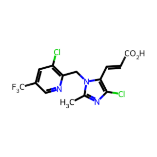 Cc1nc(Cl)c(C=CC(=O)O)n1Cc1ncc(C(F)(F)F)cc1Cl